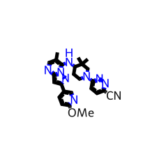 COc1ccc(-c2cc3ncc(C)c(NC4CCN(c5ccc(C#N)nn5)CC4(C)C)n3n2)cn1